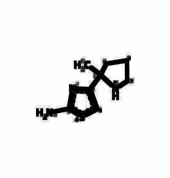 CC1(c2csc(N)n2)CCCN1